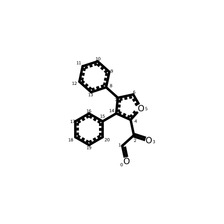 O=CC(=O)c1occ(-c2ccccc2)c1-c1ccccc1